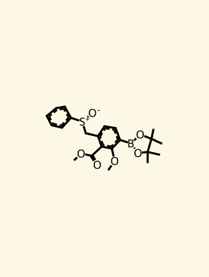 COC(=O)c1c(C[S+]([O-])c2ccccc2)ccc(B2OC(C)(C)C(C)(C)O2)c1OC